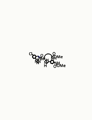 COC(=O)Nc1ccc2c(c1)N[C@H](C(=O)OC)CCCCC[C@H](NC(=O)/C=C/c1cc(Cl)ccc1-n1cnnn1)c1nc-2c[nH]1